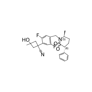 C[C@H]1CC[C@H](c2ccccc2)S(=O)(=O)N1Cc1cc(F)c(C2(C#N)CC(C)(O)C2)cc1F